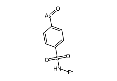 CCNS(=O)(=O)c1ccc([As]=O)cc1